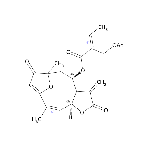 C=C1C(=O)O[C@H]2/C=C(/C)C3=CC(=O)C(C)(C[C@@H](OC(=O)/C(=C/C)COC(C)=O)C12)O3